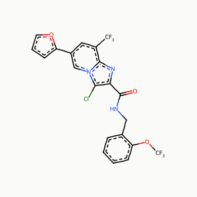 O=C(NCc1ccccc1OC(F)(F)F)c1nc2c(C(F)(F)F)cc(-c3ccco3)cn2c1Cl